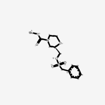 CC(C)(C)OC(=O)N1CCO[C@@H](COS(=O)(=O)Cc2ccccc2)C1